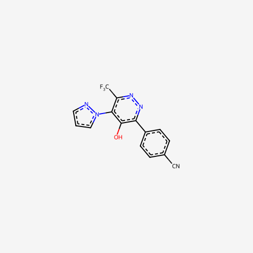 N#Cc1ccc(-c2nnc(C(F)(F)F)c(-n3cccn3)c2O)cc1